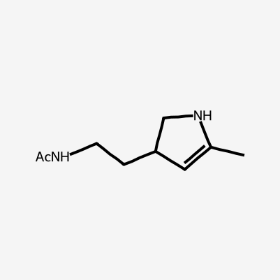 CC(=O)NCCC1C=C(C)NC1